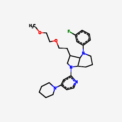 COCCOCCC1CN(c2cc(N3CCCCC3)ccn2)C2CCCN(c3cccc(F)c3)C12